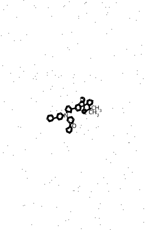 CC1(C)c2ccccc2C2(c3ccccc3-c3cc(-c4cccc(N(c5ccc(-c6ccccc6)cc5)c5ccc6oc7ccccc7c6c5)c4)ccc32)c2ccccc21